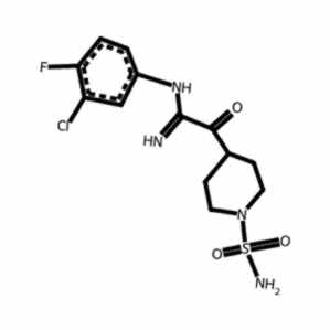 N=C(Nc1ccc(F)c(Cl)c1)C(=O)C1CCN(S(N)(=O)=O)CC1